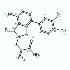 C=C(CN1Cc2c(-c3ccc(O)c(Cl)n3)ccc(N)c2C1=O)C(N)=O